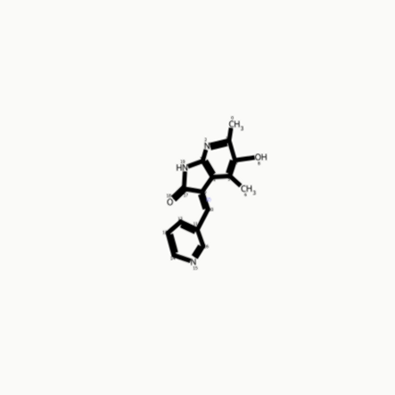 Cc1nc2c(c(C)c1O)/C(=C/c1cccnc1)C(=O)N2